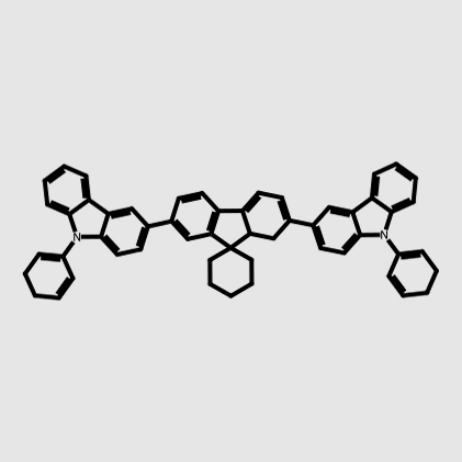 C1=CC(n2c3ccccc3c3cc(C4=CC=C5c6ccc(-c7ccc8c(c7)c7ccccc7n8C7=CCCC=C7)cc6C6(CCCCC6)C5C4)ccc32)=CCC1